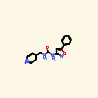 O=C(NCc1ccncc1)Nc1cc(-c2ccccc2)on1